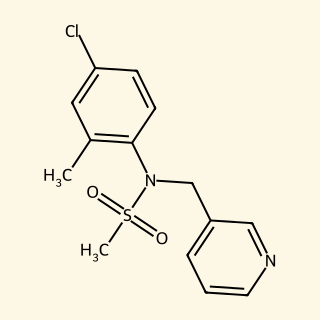 Cc1cc(Cl)ccc1N(Cc1cccnc1)S(C)(=O)=O